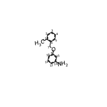 Cc1ccccc1COc1cccc(N)c1